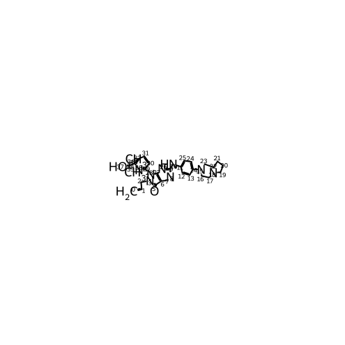 C=CCn1c(=O)c2cnc(Nc3ccc(N4CCN5CCCC5C4)cc3)nc2n1-c1cccc(C(C)(C)O)n1